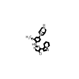 COc1cc(N2CC3CNCC(C2)O3)ccc1Nc1ncc(Cl)c(-c2cnn3ccccc23)n1